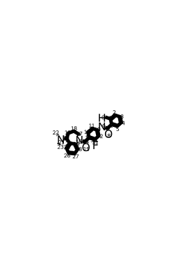 Cc1ccccc1C(=O)Nc1ccc(C(=O)N2CCCC(N(C)C)c3ccccc32)c(F)c1